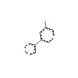 COc1cncc(-c2c[nH]nn2)c1